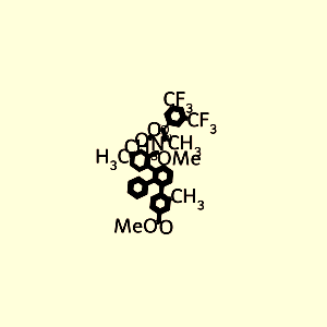 COC(=O)c1ccc(-c2ccc(OC)c(C3=C(CN4C(=O)O[C@@H](c5cc(C(F)(F)F)cc(C(F)(F)F)c5)[C@H]4C)CC(C)(C)CC3)c2-c2ccccc2)c(C)c1